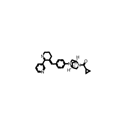 O=C(C1CC1)N1C[C@@H]2C[C@H]1CN2c1ccc(C=C2CCCN=C2c2cccnc2)cc1